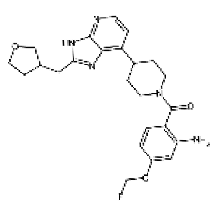 Nc1cc(OCF)ccc1C(=O)N1CCC(c2ccnc3[nH]c(CC4CCOC4)nc23)CC1